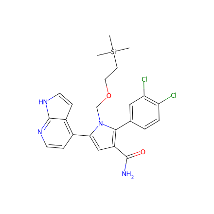 C[Si](C)(C)CCOCn1c(-c2ccnc3[nH]ccc23)cc(C(N)=O)c1-c1ccc(Cl)c(Cl)c1